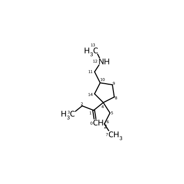 C=C(CC)C1(CCC)CCC(CNC)C1